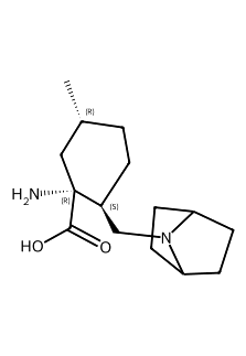 C[C@@H]1CC[C@@H](CN2C3CCC2CC3)[C@@](N)(C(=O)O)C1